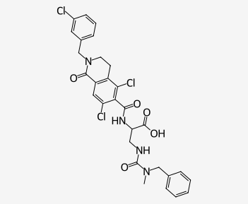 CN(Cc1ccccc1)C(=O)NCC(NC(=O)c1c(Cl)cc2c(c1Cl)CCN(Cc1cccc(Cl)c1)C2=O)C(=O)O